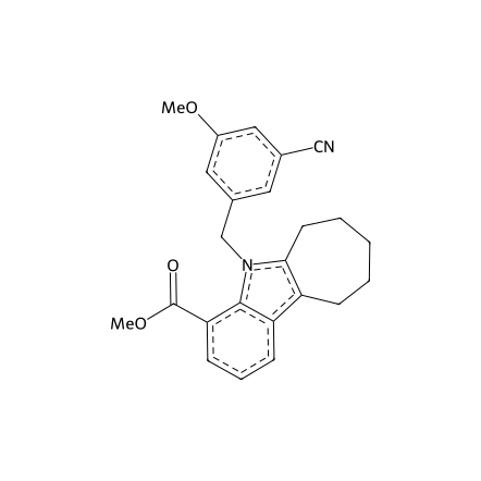 COC(=O)c1cccc2c3c(n(Cc4cc(C#N)cc(OC)c4)c12)CCCCC3